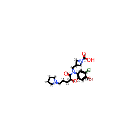 O=C(O)N1CC(CN2C(=O)C(CCCN3CCCC3)Oc3cc(Br)c(Cl)cc32)C1